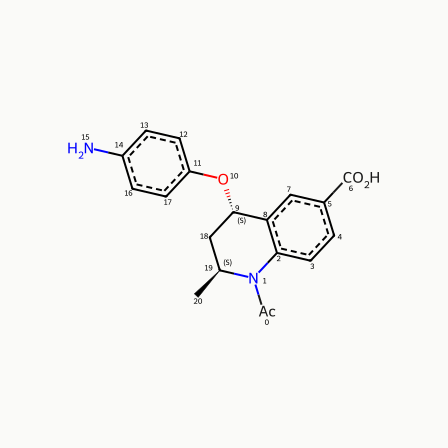 CC(=O)N1c2ccc(C(=O)O)cc2[C@@H](Oc2ccc(N)cc2)C[C@@H]1C